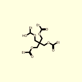 CCC(=O)OCC(COC(=O)CC)(COC(=O)CC)COC(O)CC